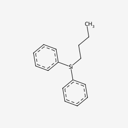 CCCC[Si](c1ccccc1)c1ccccc1